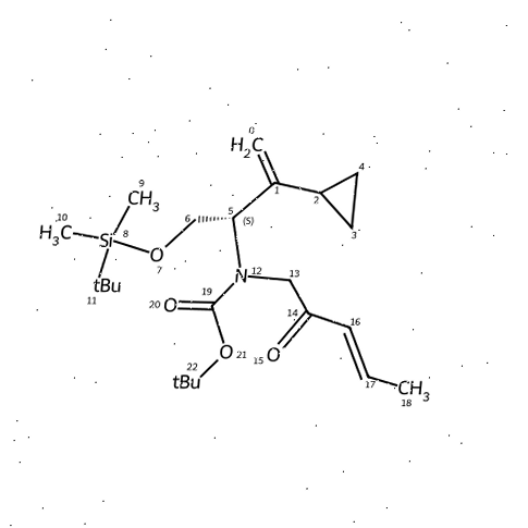 C=C(C1CC1)[C@@H](CO[Si](C)(C)C(C)(C)C)N(CC(=O)C=CC)C(=O)OC(C)(C)C